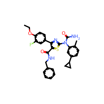 CCOc1ccc(-c2nc(N(C(N)=O)c3cc(C4CC4)ccc3C)sc2C(=O)NCc2ccccc2)cc1F